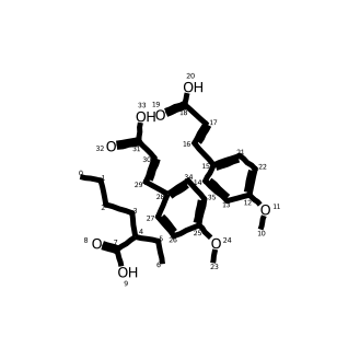 CCCCC(CC)C(=O)O.COc1ccc(C=CC(=O)O)cc1.COc1ccc(C=CC(=O)O)cc1